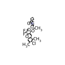 Cc1cc2c(c(C)c1Cl)C=C(C(=O)OC(C)O/N=[N+](\[O-])N1CCC1)[C@@H](C(F)(F)F)O2